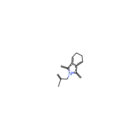 C=C(C)Cn1c(=C)c2c(c1=C)=CCCC=2